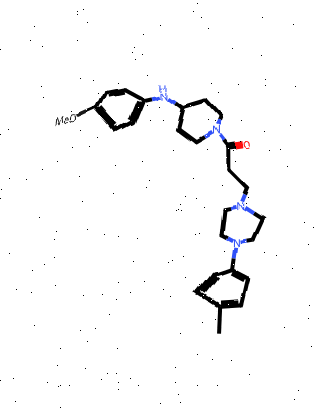 COc1ccc(NC2CCN(C(=O)CCN3CCN(c4ccc(C)cc4)CC3)CC2)cc1